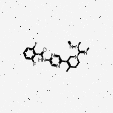 C=NN(C)/C(=N\C)N1CCC(C)=C(c2cnc(NC(=O)c3c(F)cccc3F)cn2)C1